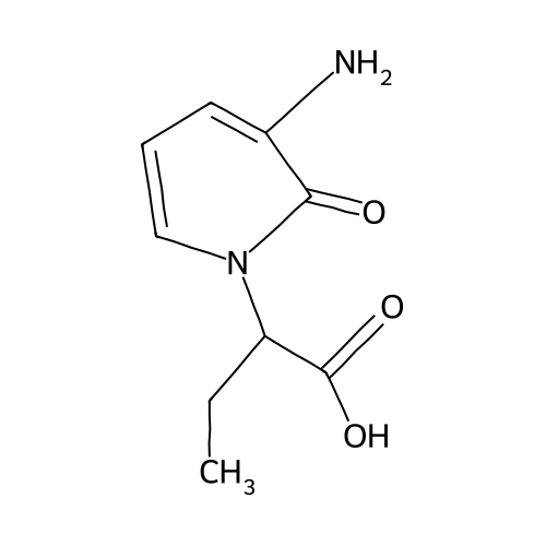 CCC(C(=O)O)n1cccc(N)c1=O